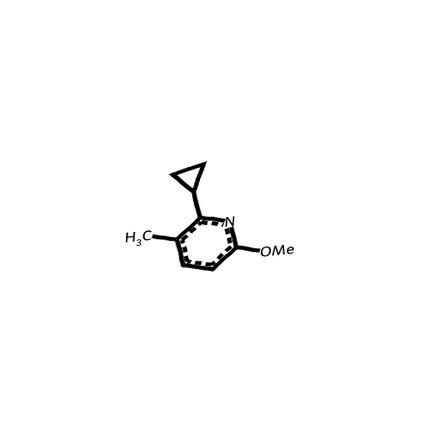 COc1ccc(C)c(C2CC2)n1